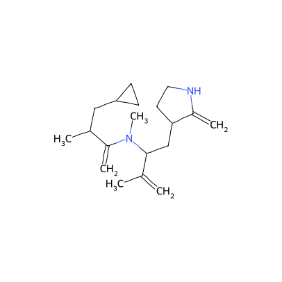 C=C1NCCC1CC(C(=C)C)N(C)C(=C)C(C)CC1CC1